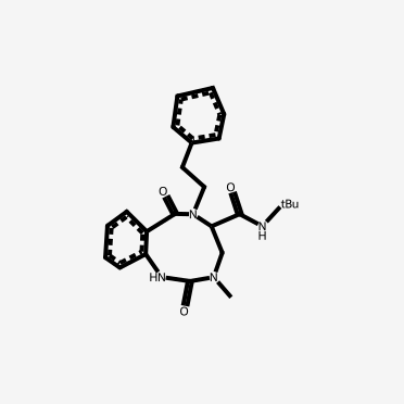 CN1CC(C(=O)NC(C)(C)C)N(CCc2ccccc2)C(=O)c2ccccc2NC1=O